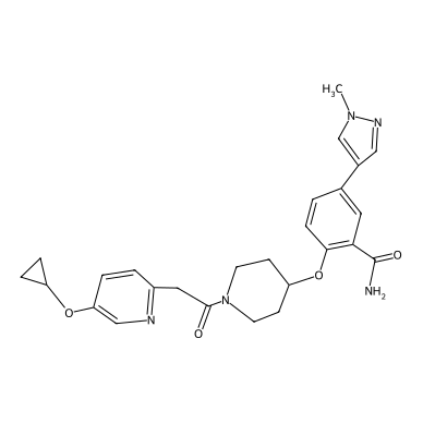 Cn1cc(-c2ccc(OC3CCN(C(=O)Cc4ccc(OC5CC5)cn4)CC3)c(C(N)=O)c2)cn1